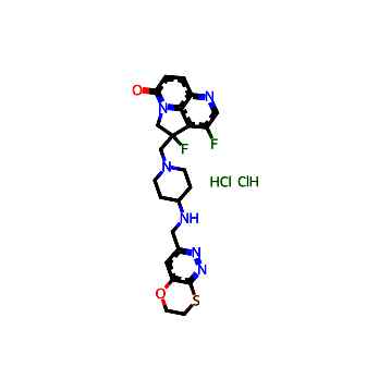 Cl.Cl.O=c1ccc2ncc(F)c3c2n1CC3(F)CN1CCC(NCc2cc3c(nn2)SCCO3)CC1